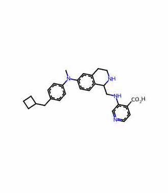 CN(c1ccc(CC2CCC2)cc1)c1ccc2c(c1)CCNC2CNc1cnccc1C(=O)O